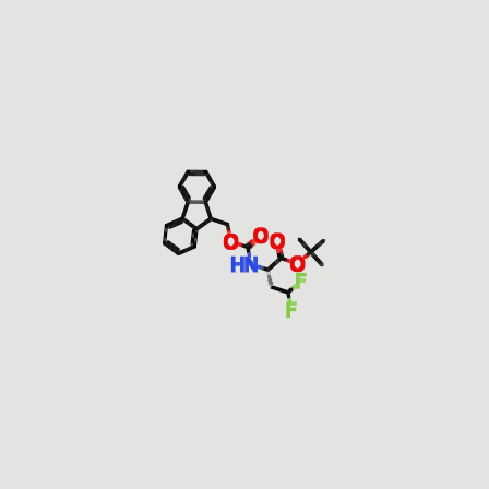 CC(C)(C)OC(=O)[C@H](CC(F)F)NC(=O)OCC1c2ccccc2-c2ccccc21